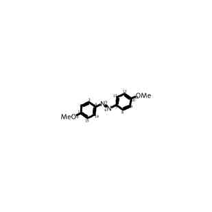 COc1ccc(N=Nc2ccc(OC)cc2)cc1